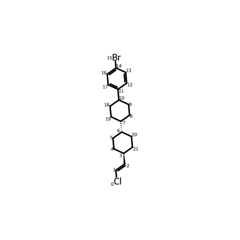 Cl/C=C/[C@H]1CC[C@H](C2CCC(c3ccc(Br)cc3)CC2)CC1